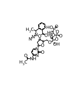 CC(=O)Nc1ccn([C@H]2C[C@@H](OC(=O)c3ccccc3C(C)N=[N+]=[N-])[C@@H](COP(=O)(O)OP(=O)(O)OP(=O)(O)O)O2)c(=O)n1